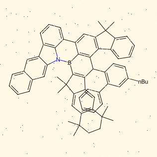 CCCCc1ccc(C2C3=C(B4c5c(cc6c(c52)-c2ccccc2C6(C)C)-c2cccc5c6cc7ccccc7cc6n4c25)C(C)(C)c2cc4c(cc23)C(C)(C)CCC4(C)C)c(-c2ccccc2)c1